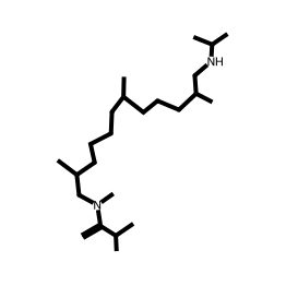 C=C(C(C)C)N(C)CC(C)CCCCC(C)CCCC(C)CNC(C)C